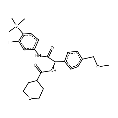 COCc1ccc([C@@H](NC(=O)C2CCOCC2)C(=O)Nc2ccc(S(C)(C)C)c(F)c2)cc1